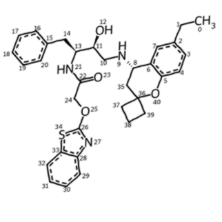 CCc1ccc2c(c1)[C@@H](NC[C@H](O)[C@H](Cc1ccccc1)NC(=O)COc1nc3ccccc3s1)CC1(CCC1)O2